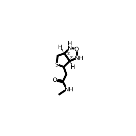 CNC(=O)CC1SC[C@H]2NON[C@@H]12